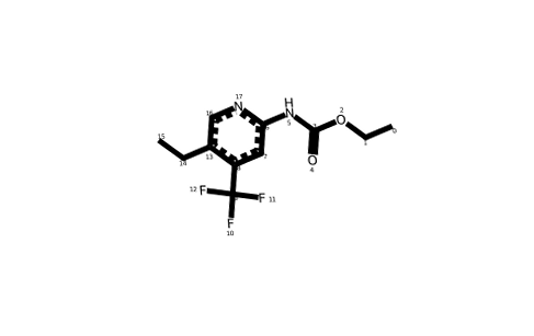 CCOC(=O)Nc1cc(C(F)(F)F)c(CC)cn1